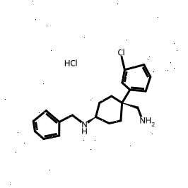 Cl.NC[C@]1(c2cccc(Cl)c2)CC[C@H](NCc2ccccc2)CC1